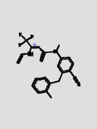 C=CN/C(=C\C(=C)N(C)c1ccc(C#N)c(Cc2ccccc2C)c1)C(F)(F)F